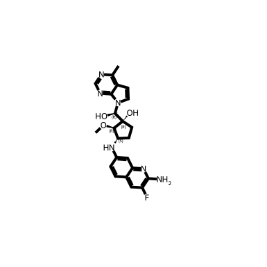 CO[C@@H]1[C@@H](Nc2ccc3cc(F)c(N)nc3c2)CC[C@]1(O)[C@@H](O)n1ccc2c(C)ncnc21